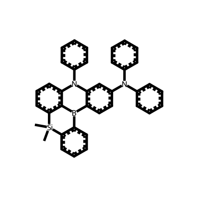 C[Si]1(C)c2ccccc2B2c3ccc(N(c4ccccc4)c4ccccc4)cc3N(c3ccccc3)c3cccc1c32